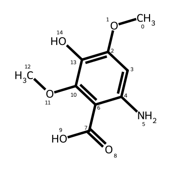 COc1cc(N)c(C(=O)O)c(OC)c1O